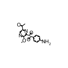 COc1ncc(C(C)=O)nc1S(=O)(=O)c1ccc(N)cc1